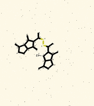 CC[C@@H]1C(C(C)SSC(C)C2C(C)C3CCC(C)C3C2C)C(C)C2CCC(C)C21